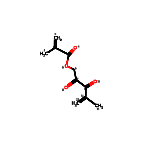 C=C(C)C(=O)OCC(=O)C(=O)C(=C)C